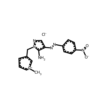 C[n+]1cccc(Cn2ncc(/N=N/c3ccc([N+](=O)[O-])cc3)c2N)c1.[Cl-]